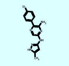 CCc1ccc(-c2ncc(Nc3cc(C)[nH]n3)nc2N)cc1